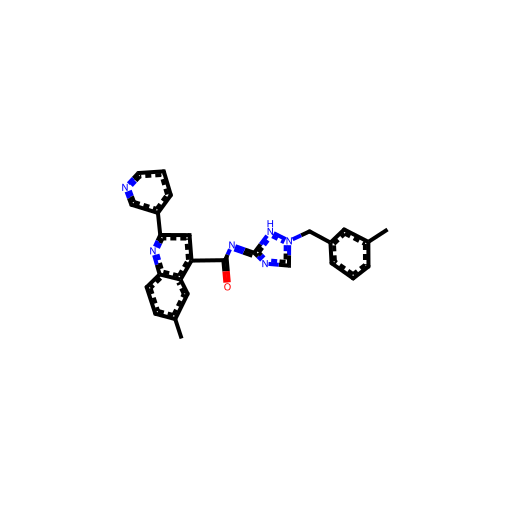 Cc1cccc(Cn2cn/c(=N\C(=O)c3cc(-c4cccnc4)nc4ccc(C)cc34)[nH]2)c1